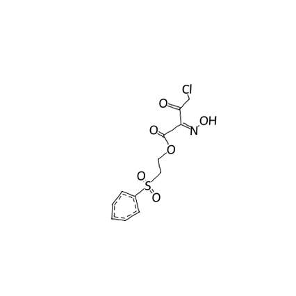 O=C(CCl)C(=NO)C(=O)OCCS(=O)(=O)c1ccccc1